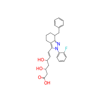 O=C(O)CC(O)CC(O)/C=C/c1c2c(nn1-c1ccccc1F)C(Cc1ccccc1)CCC2